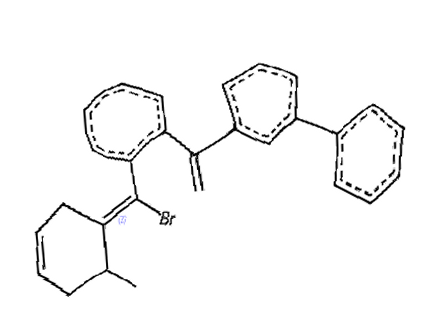 C=C(c1cccc(-c2ccccc2)c1)c1ccccc1/C(Br)=C1\CC=CCC1C